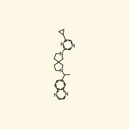 CC(c1ccc2nccnc2c1)N1CCC2(CCN(c3cncc(C4CC4)n3)C2)C1